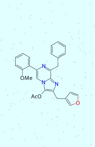 COc1ccccc1-c1cn2c(OC(C)=O)c(Cc3ccoc3)nc2c(Cc2ccccc2)n1